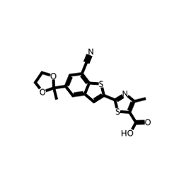 Cc1nc(-c2cc3cc(C4(C)OCCO4)cc(C#N)c3s2)sc1C(=O)O